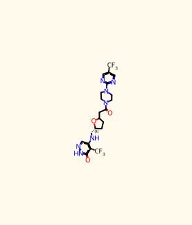 O=C(CC1CC[C@H](CNc2cn[nH]c(=O)c2C(F)(F)F)O1)N1CCN(c2ncc(C(F)(F)F)cn2)CC1